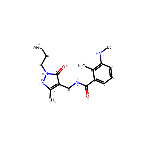 CCNc1cccc(C(=O)NCc2c(C)[nH]n(CCOC)c2=O)c1C